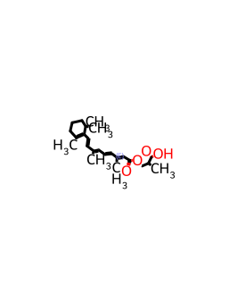 CC(C=CC1=C(C)CCCC1(C)C)=CC=C/C(C)=C/C(=O)OCC(C)C(=O)O